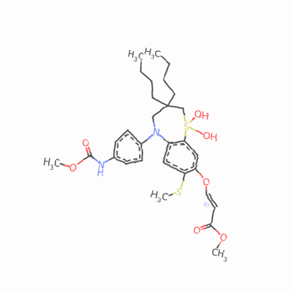 CCCCC1(CCCC)CN(c2ccc(NC(=O)OC)cc2)c2cc(SC)c(O/C=C/C(=O)OC)cc2S(O)(O)C1